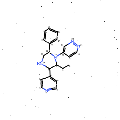 CCC1C(c2ccncc2)NCC(c2ccccc2)N1c1ccnnc1